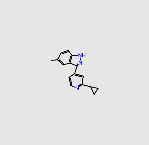 Cc1ccc2[nH]nc(-c3ccnc(C4CC4)c3)c2c1